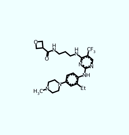 CCc1cc(N2CCN(C)CC2)ccc1Nc1ncc(C(F)(F)F)c(NCCCNC(=O)C2COC2)n1